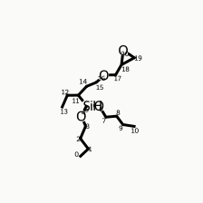 CCCCO[SiH](OCCCC)C(CC)CCOCC1CO1